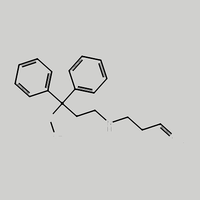 C=CCCNCCC(OC)(c1ccccc1)c1ccccc1